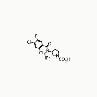 CC(C)CN(C(=O)c1cc(F)c(Cl)cc1Cl)[C@H]1CCN(C(=O)O)C1